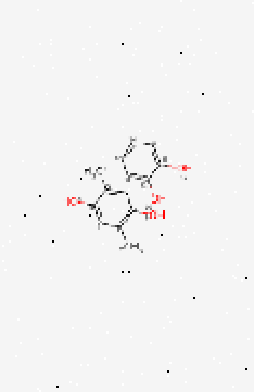 Cc1cc(O)c(C)cc1O.Oc1ccccc1O